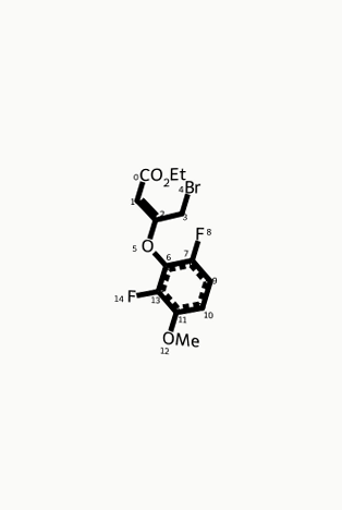 CCOC(=O)/C=C(\CBr)Oc1c(F)ccc(OC)c1F